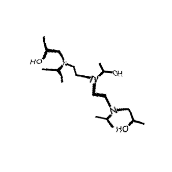 CC(O)CN(CCN(CCN(CC(C)O)C(C)C)C(C)O)C(C)C